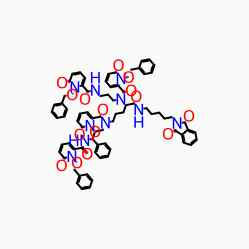 O=C(NCCCN(CCCC(C(=O)NCCCCCN1C(=O)c2ccccc2C1=O)N(CCCNC(=O)c1cccc(=O)n1OCc1ccccc1)C(=O)c1cccc(=O)n1OCc1ccccc1)C(=O)c1cccc(=O)n1OCc1ccccc1)c1cccc(=O)n1OCc1ccccc1